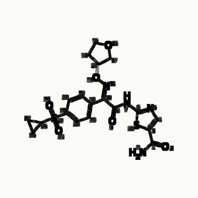 NC(=O)c1cnc(NC(=O)/C(=N/O[C@@H]2CCOC2)c2ccc(S(=O)(=O)C3CC3)cc2)s1